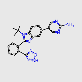 CC(C)(C)n1c(-c2ccccc2-c2nn[nH]n2)nc2cc(-c3cnc(N)nc3)ccc21